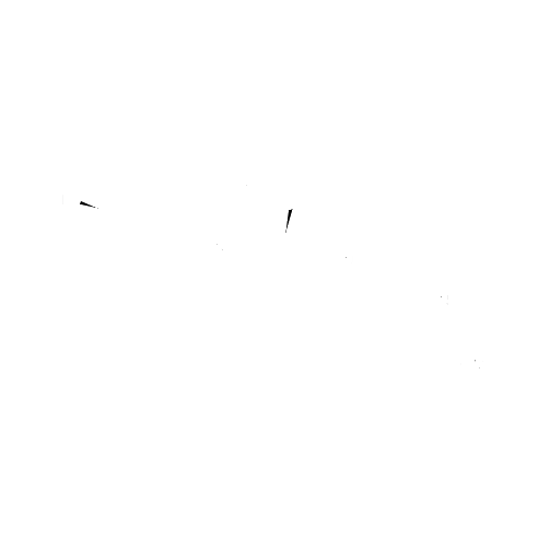 COc1cc(C)c(N2CCC[C@]3(CCN([C@H]4CC[C@H](O)CC4)C3=O)C2)cn1